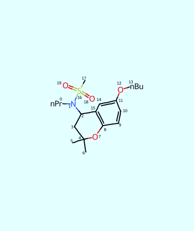 [CH2]CCN(C1CC(C)(C)Oc2ccc(OCCCC)cc21)S(C)(=O)=O